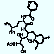 CCCC(CCC)CC[C@@H](NC(=O)c1cccnc1)C(=O)N[C@@H](Cc1cc(F)cc(F)c1)[C@@H](O)[C@H](O)[C@@H](CC#N)NC(C)=O